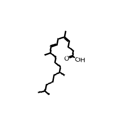 CC(=CCCC(=O)O)CC=CC(C)CCCC(C)CCCC(C)C